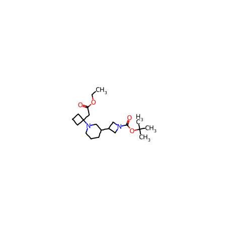 CCOC(=O)CC1(N2CCCC(C3CN(C(=O)OC(C)(C)C)C3)C2)CCC1